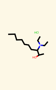 CCCCCCCC(C(C)O)N(CC)CC.Cl